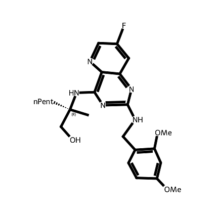 CCCCC[C@](C)(CO)Nc1nc(NCc2ccc(OC)cc2OC)nc2cc(F)cnc12